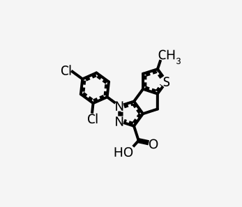 Cc1cc2c(s1)Cc1c(C(=O)O)nn(-c3ccc(Cl)cc3Cl)c1-2